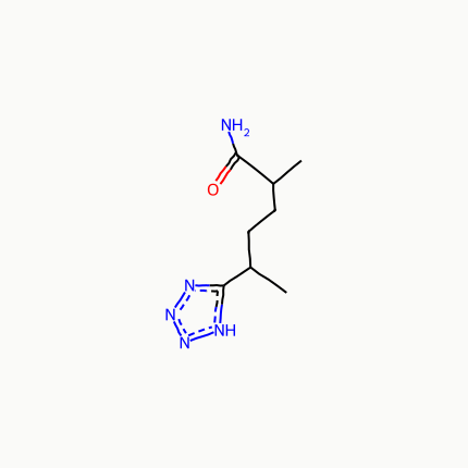 CC(CCC(C)c1nnn[nH]1)C(N)=O